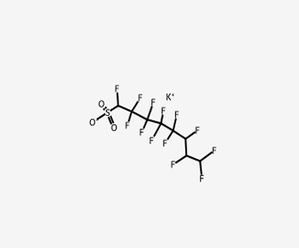 O=S(=O)([O-])C(F)C(F)(F)C(F)(F)C(F)(F)C(F)(F)C(F)C(F)C(F)F.[K+]